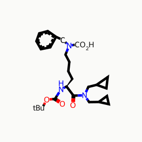 CC(C)(C)OC(=O)N[C@@H](CCCCN(Cc1ccccc1)C(=O)O)C(=O)N(CC1CC1)CC1CC1